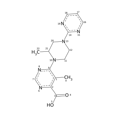 Cc1c(C(=O)O)ncnc1N1CCN(c2ncccn2)CC1C